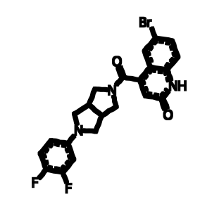 O=C(c1cc(=O)[nH]c2ccc(Br)cc12)N1CC2CN(c3ccc(F)c(F)c3)CC2C1